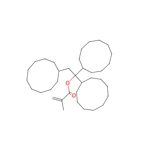 C=C(C)C(=O)OC(CC1CCCCCCCCC1)(C1CCCCCCCCC1)C1CCCCCCCCC1